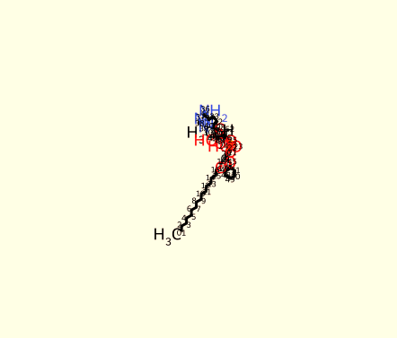 CCCCCCCCCCCCCCCCCOC[C@@H](COP(=O)(O)OC1[C@H]2O[C@@](C)(c3ccc4c(N)ncnn34)[C@H](O)[C@@]12O)Oc1ccccc1